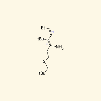 CC/C=C\C(=C(/N)CCSCC(C)(C)C)C(C)(C)C